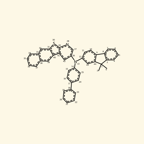 CC1(C)c2ccccc2-c2ccc(N(c3ccc(-c4ccccc4)cc3)c3cnc4sc5cc6ccccc6cc5c4c3)cc21